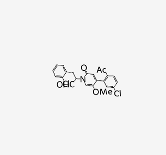 COc1cn(C(C=O)Cc2ccccc2Cl)c(=O)cc1-c1cc(Cl)ccc1C(C)=O